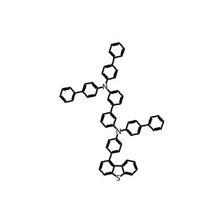 c1ccc(-c2ccc(N(c3ccc(-c4ccccc4)cc3)c3cccc(-c4cccc(N(c5ccc(-c6ccccc6)cc5)c5ccc(-c6cccc7sc8ccccc8c67)cc5)c4)c3)cc2)cc1